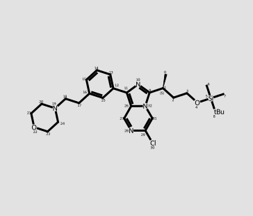 C[C@@H](CCO[Si](C)(C)C(C)(C)C)c1nc(-c2cccc(CCN3CCOCC3)c2)c2cnc(Cl)cn12